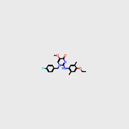 CCOc1cc(C)c(Nc2nc(=O)c(OC)cn2Cc2ccc(F)cc2)cc1C